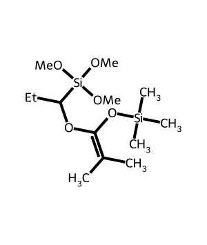 CCC(OC(O[Si](C)(C)C)=C(C)C)[Si](OC)(OC)OC